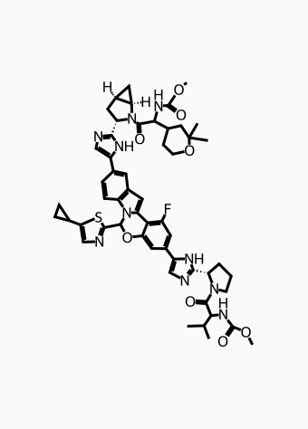 COC(=O)NC(C(=O)N1CCC[C@H]1c1ncc(-c2cc(F)c3c(c2)OC(c2ncc(C4CC4)s2)n2c-3cc3cc(-c4cnc([C@@H]5C[C@H]6C[C@H]6N5C(=O)C(NC(=O)OC)C5CCOC(C)(C)C5)[nH]4)ccc32)[nH]1)C(C)C